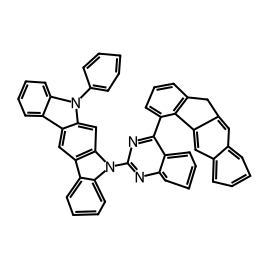 c1ccc(-n2c3ccccc3c3cc4c5ccccc5n(-c5nc(-c6cccc7c6-c6cc8ccccc8cc6C7)c6ccccc6n5)c4cc32)cc1